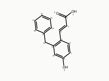 O=C(O)C=Cc1ccc(O)cc1Cc1ccccc1